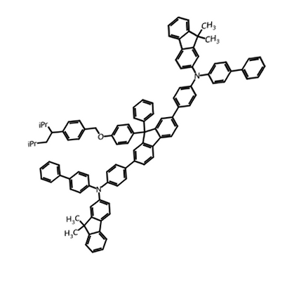 CC(C)CC(c1ccc(COc2ccc(C3(c4ccccc4)c4cc(-c5ccc(N(c6ccc(-c7ccccc7)cc6)c6ccc7c(c6)C(C)(C)c6ccccc6-7)cc5)ccc4-c4ccc(-c5ccc(N(c6ccc(-c7ccccc7)cc6)c6ccc7c(c6)C(C)(C)c6ccccc6-7)cc5)cc43)cc2)cc1)C(C)C